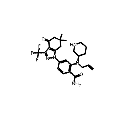 C=CCN(c1cc(-n2nc(C(F)(F)F)c3c2CC(C)(C)CC3=O)ccc1C(N)=O)C1CCCNC1